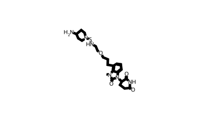 Cn1c(=O)n(C2CCC(=O)NC2=O)c2cccc(CCCOCCNSN3CCC(N)CC3)c21